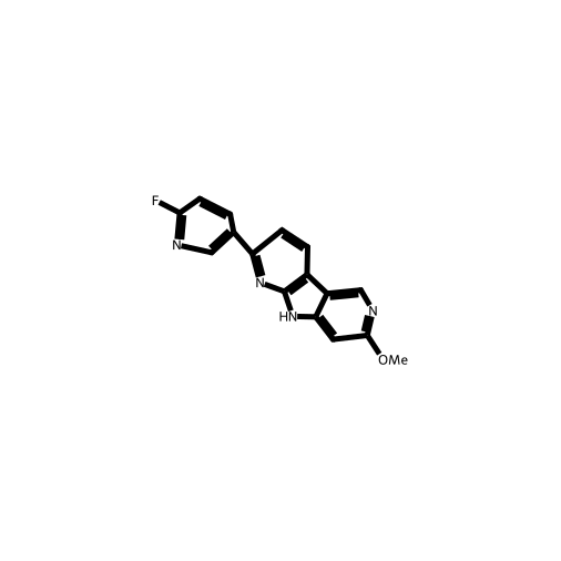 COc1cc2[nH]c3nc(-c4ccc(F)nc4)ccc3c2cn1